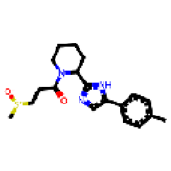 Cc1ccc(-c2cnc(C3CCCCN3C(=O)CC[S+](C)[O-])[nH]2)cc1